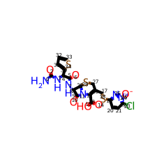 NC(=O)NC(C(=O)N[C@H]1C(=O)N2C(C(=O)O)=C(CSc3ccc(Cl)[n+]([O-])n3)CSC12)c1cccs1